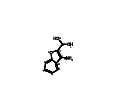 Nc1c(C(O)O)oc2ccccc12